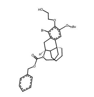 CCCCOc1cc2c(c(Br)c1OCCO)C[C@H]1C3CCCC[C@@]23CCCN1C(=O)OCc1ccccc1